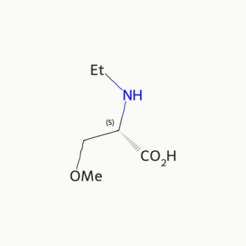 CCN[C@@H](COC)C(=O)O